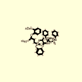 CCCCCCCCCCc1ccccc1OC(CCCCCCC)CCP(=S)(Sc1ccccc1)SC(C)C(=O)NC(CCCCCCCCCC)(Oc1ccccc1)SP(=S)(CCCCCCCCCC)Sc1ccccc1